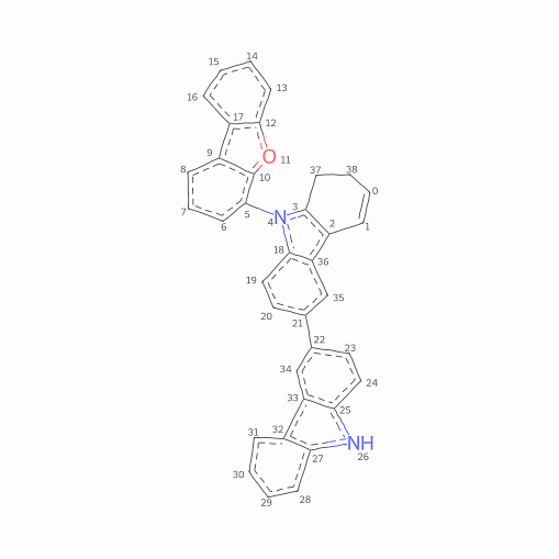 C1=Cc2c(n(-c3cccc4c3oc3ccccc34)c3ccc(-c4ccc5[nH]c6ccccc6c5c4)cc23)CC1